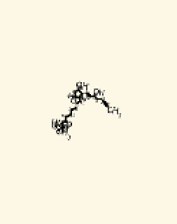 CC#CCC[C@H](O)C=C[C@@H]1[C@H]2C[C@@H](CCCCC(=O)NS(C)(=O)=O)O[C@H]2C[C@H]1O